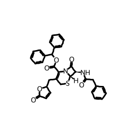 O=C(Cc1ccccc1)N[C@@H]1C(=O)N2C(C(=O)OC(c3ccccc3)c3ccccc3)=C(CC3C=CC(=O)O3)CS[C@@H]12